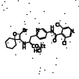 CCOC(=O)[C@H](Cc1ccc(NC(=O)c2c(Cl)cncc2Cl)cn1)NC1=C(Br)OC12CCCCC2.Cl